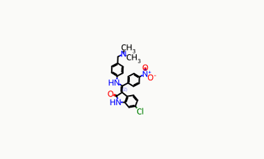 CN(C)Cc1ccc(N/C(=C2\C(=O)Nc3cc(Cl)ccc32)c2ccc([N+](=O)[O-])cc2)cc1